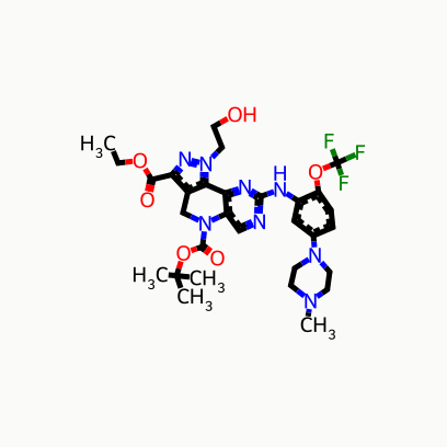 CCOC(=O)c1nn(CCO)c2c1CN(C(=O)OC(C)(C)C)c1cnc(Nc3cc(N4CCN(C)CC4)ccc3OC(F)(F)F)nc1-2